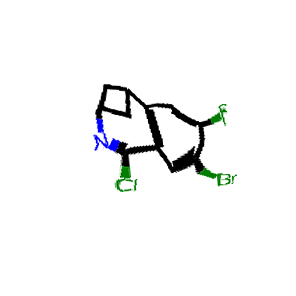 Fc1cc2c(cc1Br)C(Cl)=NC1CC2C1